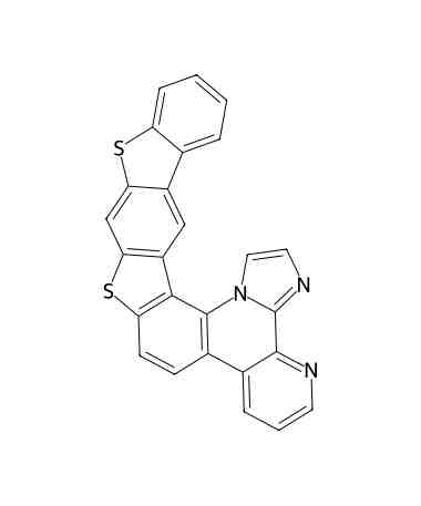 c1ccc2c(c1)sc1cc3sc4ccc5c6cccnc6c6nccn6c5c4c3cc12